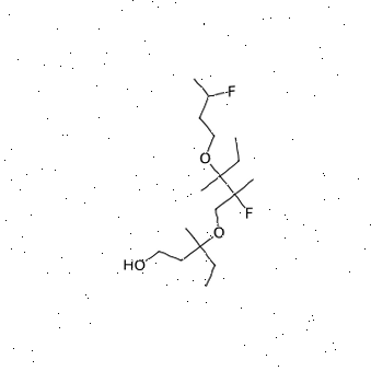 CCC(C)(CCO)OCC(C)(F)C(C)(CC)OCCC(C)F